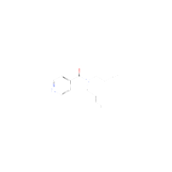 CC(C)CCN(CCC(C)C)C(=O)c1ccncc1